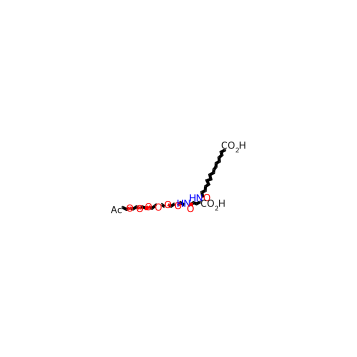 CC(=O)CCOCCOCCOCCOCCOCCOCCNC(=O)CCC(NC(=O)CCCCCCCCCCCCCCCCC(=O)O)C(=O)O